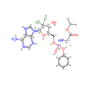 CC(C)OC(=O)[C@H](C)N[P@](=O)(OC[C@H]1O[C@@H](n2cnc3c(N)ncnc32)C(Cl)(Cl)[C@@H]1O)Oc1ccccc1